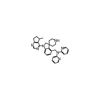 CC1CCc2ncnc(N3CC4(CCNCC4)c4c(CN(c5ccccn5)c5ccccn5)cccc43)c21